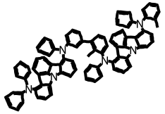 Cc1ccccc1N(c1ccccc1)c1cccc2c1c1cccc3c4c(N(c5ccccc5)c5cccc(-c6cccc(N(c7ccccc7)c7cccc8c7c7cccc9c%10c(N(c%11ccccc%11)c%11ccccc%11)cccc%10n8c97)c6)c5C)cccc4n2c13